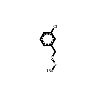 CC(C)(C)SSCc1cccc(Cl)c1